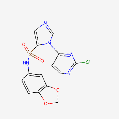 O=S(=O)(Nc1ccc2c(c1)OCO2)c1cncn1-c1ccnc(Cl)n1